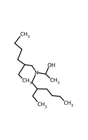 CCCCC(CC)CN(CC(CC)CCCC)C(C)O